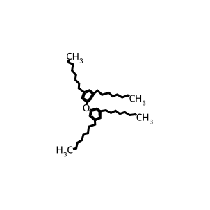 CCCCCCCCc1cc(CCCCCCCC)cc(Oc2cc(CCCCCCCC)cc(CCCCCCCC)c2)c1